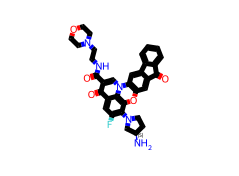 N[C@H]1CCN(c2c(F)cc3c(=O)c(C(=O)NCCN4CCOCC4)cn4c5cc6c(cc5oc2c34)c(=O)c2ccccc26)C1